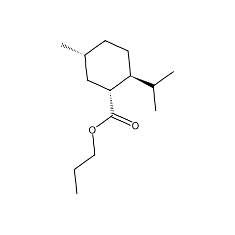 CCCOC(=O)[C@@H]1C[C@H](C)CC[C@H]1C(C)C